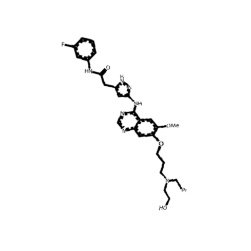 COc1cc2c(Nc3cc(CC(=O)Nc4cccc(F)c4)[nH]n3)ncnc2cc1OCCCN(CCO)CC(C)C